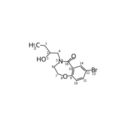 CCC(O)CN1CCOc2ccc(Br)cc2C1=O